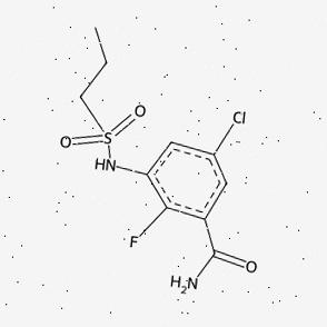 CCCS(=O)(=O)Nc1cc(Cl)cc(C(N)=O)c1F